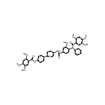 COc1cc(OC)c(C(=O)Oc2ccc(-c3ccc(NC(=O)c4ccc(N(C(=O)c5cc(OC)c(OC)cc5OC)c5ccccc5)c(OC)c4)cc3)cc2)cc1OC